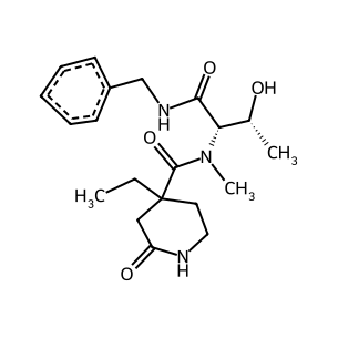 CCC1(C(=O)N(C)[C@H](C(=O)NCc2ccccc2)[C@@H](C)O)CCNC(=O)C1